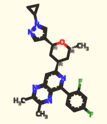 Cc1nc2cc([C@@H]3C[C@@H](C)O[C@H](c4cnn(C5CC5)c4)C3)nc(-c3ccc(F)cc3F)c2nc1C